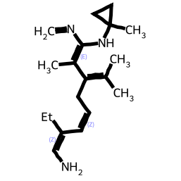 C=N/C(NC1(C)CC1)=C(\C)C(C/C=C\C(=C/N)CC)=C(C)C